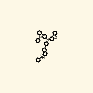 c1ccc(-c2nc3ccc4cc(-c5ccc(N(c6ccc7oc8ccccc8c7c6)c6ccc7c8ccccc8n(-c8ccccc8)c7c6)cc5)ccc4c3o2)cc1